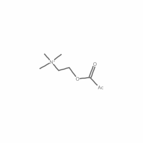 CC(=O)C(=O)OCC[N+](C)(C)C